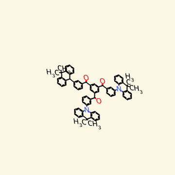 CC1(C)c2ccccc2C(c2cccc(C(=O)c3cc(C(=O)c4cccc(N5c6ccccc6C(C)(C)c6ccccc65)c4)cc(C(=O)c4cccc(N5c6ccccc6C(C)(C)c6ccccc65)c4)c3)c2)c2ccccc21